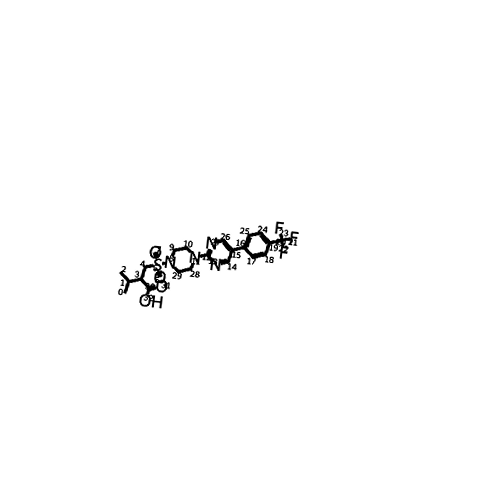 CC(C)C(CS(=O)(=O)N1CCN(c2ncc(-c3ccc(C(F)(F)F)cc3)cn2)CC1)C(=O)O